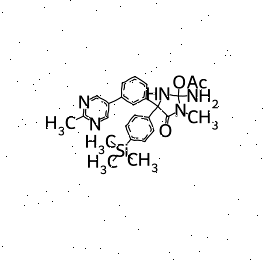 CC(=O)OC1(N)NC(c2ccc([Si](C)(C)C)cc2)(c2cccc(-c3cnc(C)nc3)c2)C(=O)N1C